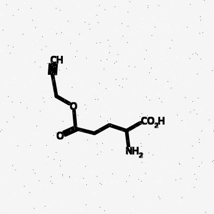 C#CCOC(=O)CCC(N)C(=O)O